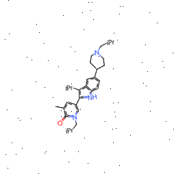 Cc1cc(-c2[nH]c3ccc(C4CCN(CC(C)C)CC4)cc3c2C(C)C)cn(CC(C)C)c1=O